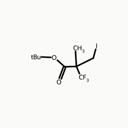 CC(C)(C)OC(=O)C(C)(CI)C(F)(F)F